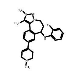 CC1=C2c3ccc(C4=CCN(C)CC4)cc3C(Nc3ccccc3Cl)CCN2NN1C